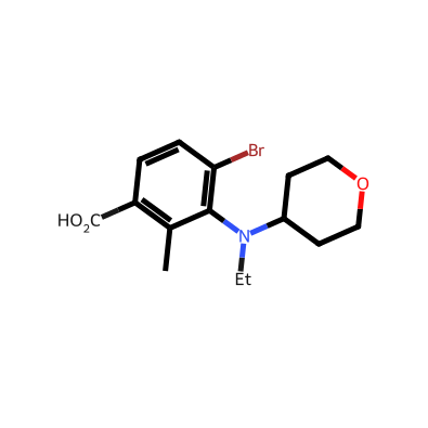 CCN(c1c(Br)ccc(C(=O)O)c1C)C1CCOCC1